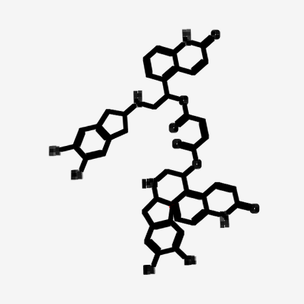 CCc1cc2c(cc1CC)CC(NCC(OC(=O)/C=C\C(=O)OC(CNC1Cc3cc(CC)c(CC)cc3C1)c1cccc3[nH]c(=O)ccc13)c1cccc3[nH]c(=O)ccc13)C2